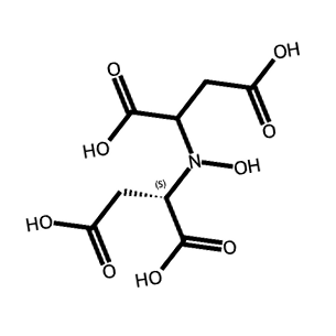 O=C(O)CC(C(=O)O)N(O)[C@@H](CC(=O)O)C(=O)O